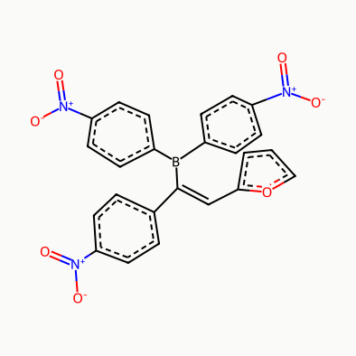 O=[N+]([O-])c1ccc(B(/C(=C\c2ccco2)c2ccc([N+](=O)[O-])cc2)c2ccc([N+](=O)[O-])cc2)cc1